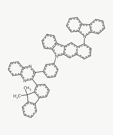 CC1(C)c2ccccc2-c2cccc(-c3nc4ccccc4nc3-c3cccc(-n4c5ccccc5c5cc6c(-n7c8ccccc8c8ccccc87)cccc6cc54)c3)c21